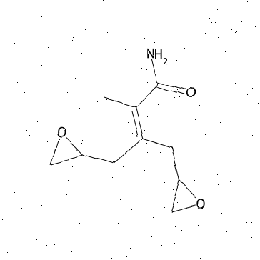 CC(C(N)=O)=C(CC1CO1)CC1CO1